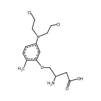 Cc1ccc(N(CCCl)CCCl)cc1OCC(N)CC(=O)O